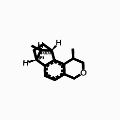 CC1COCc2ccc3c(c21)[C@H]1CC[C@@H]3[C@@H]1C